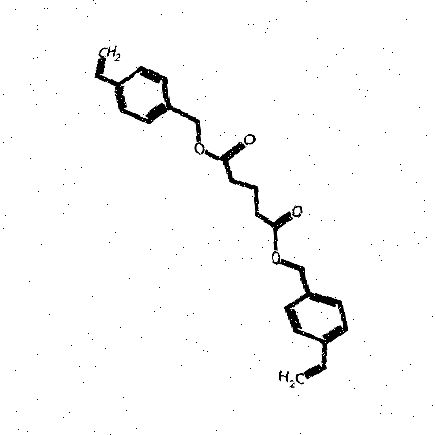 C=Cc1ccc(COC(=O)CCCC(=O)OCc2ccc(C=C)cc2)cc1